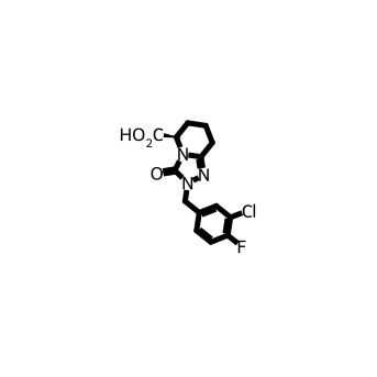 O=C(O)[C@H]1CCCc2nn(Cc3ccc(F)c(Cl)c3)c(=O)n21